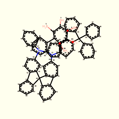 Bc1c(B)c(B)c(-c2ccccc2N(c2ccc3c(c2)-c2ccccc2C3(c2ccccc2)c2ccccc2)c2ccc3c(c2)C2(c4ccccc4-c4ccc(N(c5ccccc5)c5ccccc5)cc42)c2ccccc2-3)c(B)c1B